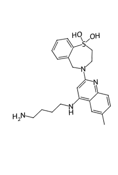 Cc1ccc2nc(N3CCS(O)(O)c4ccccc4C3)cc(NCCCCN)c2c1